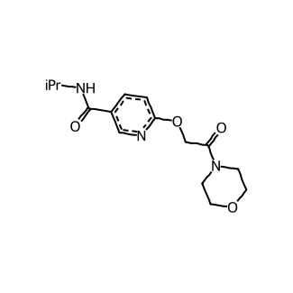 CC(C)NC(=O)c1ccc(OCC(=O)N2CCOCC2)nc1